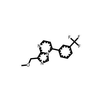 COCc1ncn2c(-c3cccc(C(F)(F)F)c3)ccnc12